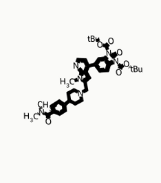 CN(C)C(=O)c1ccc(C2CCN(Cc3cc4c(-c5ccc6c(c5)n(C(=O)OC(C)(C)C)c(=O)n6C(=O)OC(C)(C)C)ccnc4n3C)CC2)cc1